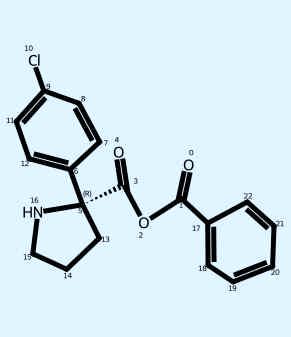 O=C(OC(=O)[C@]1(c2ccc(Cl)cc2)CCCN1)c1ccccc1